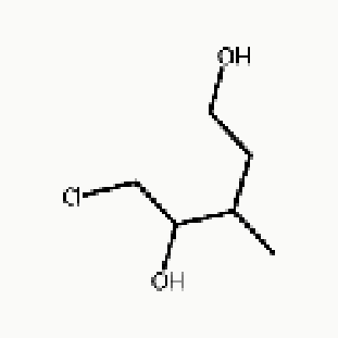 CC(CCO)C(O)CCl